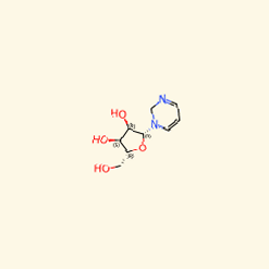 OC[C@H]1O[C@@H](N2C=CC=NC2)[C@H](O)[C@@H]1O